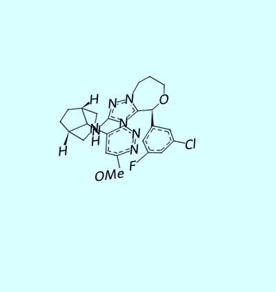 COc1cc(N2C[C@H]3CC[C@@H](C2)C3Nc2nc3n(n2)CCCO[C@H]3c2cc(F)cc(Cl)c2)cnn1